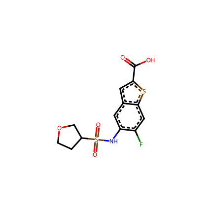 O=C(O)c1cc2cc(NS(=O)(=O)C3CCOC3)c(F)cc2s1